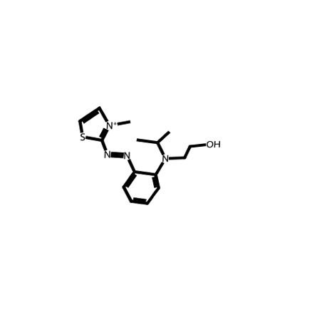 CC(C)N(CCO)c1ccccc1/N=N/c1scc[n+]1C